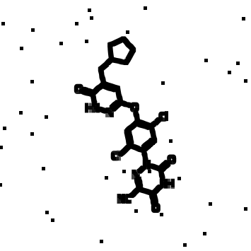 N#Cc1nn(-c2cc(Cl)c(Oc3cc(CC4CCCC4)c(=O)[nH]n3)cc2Cl)c(=O)[nH]c1=O